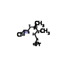 CC(C)CCC(C)[C@H](C)C/C=C/Cl